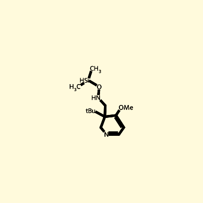 COC1=CC=NCC1(CNO[SiH](C)C)C(C)(C)C